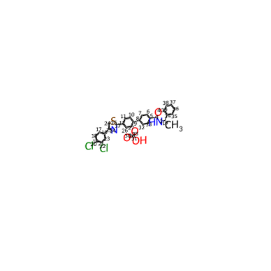 CC(NC(=O)c1ccc(-c2ccc(-c3nc(-c4ccc(Cl)c(Cl)c4)cs3)cc2OC(=O)O)cc1)c1ccccc1